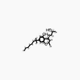 CCCCCCC(C)(C)c1cc(O)c2c(c1)OC(C)CC2=NCC(C)O